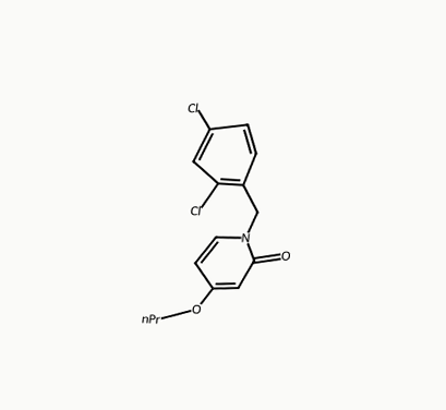 CCCOc1ccn(Cc2ccc(Cl)cc2Cl)c(=O)c1